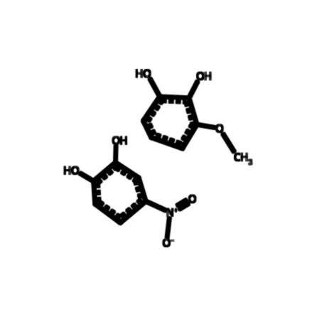 COc1cccc(O)c1O.O=[N+]([O-])c1ccc(O)c(O)c1